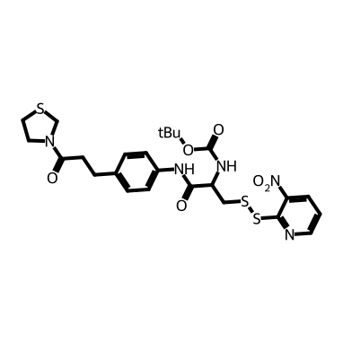 CC(C)(C)OC(=O)NC(CSSc1ncccc1[N+](=O)[O-])C(=O)Nc1ccc(CCC(=O)N2CCSC2)cc1